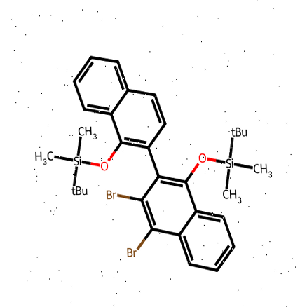 CC(C)(C)[Si](C)(C)Oc1c(-c2c(Br)c(Br)c3ccccc3c2O[Si](C)(C)C(C)(C)C)ccc2ccccc12